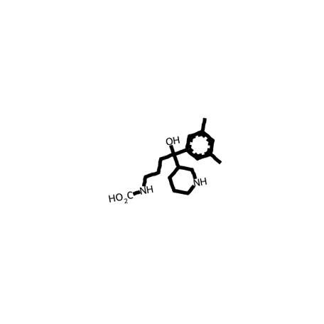 Cc1cc(C)cc(C(O)(CCCNC(=O)O)C2CCCNC2)c1